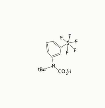 CC(C)(C)N(C(=O)O)c1cccc(S(F)(F)(F)(F)F)c1